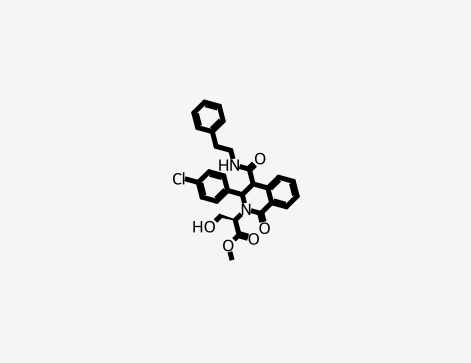 COC(=O)[C@@H](CO)N1C(=O)c2ccccc2C(C(=O)NCCc2ccccc2)C1c1ccc(Cl)cc1